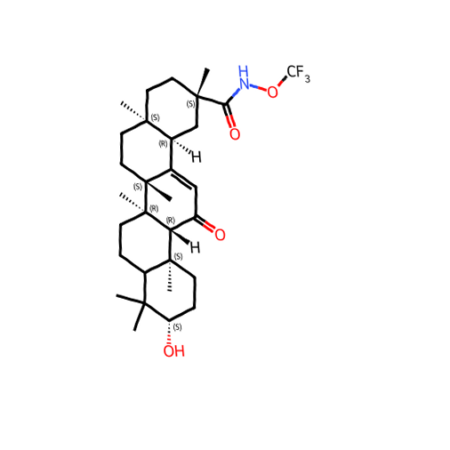 CC1(C)C2CC[C@]3(C)[C@H](C(=O)C=C4[C@@H]5C[C@@](C)(C(=O)NOC(F)(F)F)CC[C@]5(C)CC[C@]43C)[C@@]2(C)CC[C@@H]1O